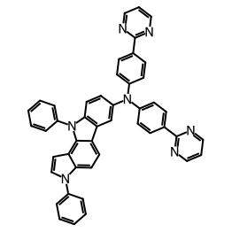 c1ccc(-n2ccc3c2ccc2c4cc(N(c5ccc(-c6ncccn6)cc5)c5ccc(-c6ncccn6)cc5)ccc4n(-c4ccccc4)c23)cc1